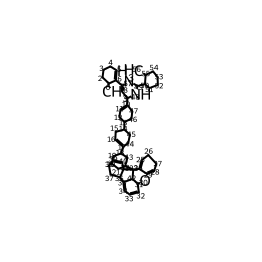 CC1CCCC=C1C1=CC(C2=CCC(C3CC=C(C4CCCC(C56C7=CCCC=C7OC7C=CC=C(C8CCC=CC85)C76)C4)CC3)CC2)NC(C2CCCCC2C)N1